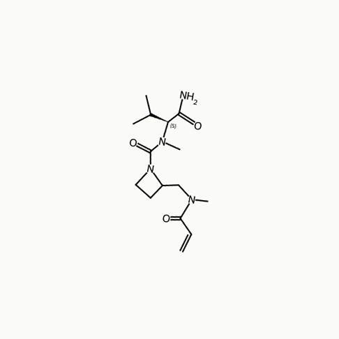 C=CC(=O)N(C)CC1CCN1C(=O)N(C)[C@H](C(N)=O)C(C)C